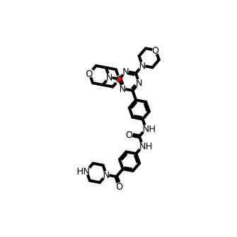 O=C(Nc1ccc(C(=O)N2CCNCC2)cc1)Nc1ccc(-c2nc(N3CCOCC3)nc(N3C4COCC3COC4)n2)cc1